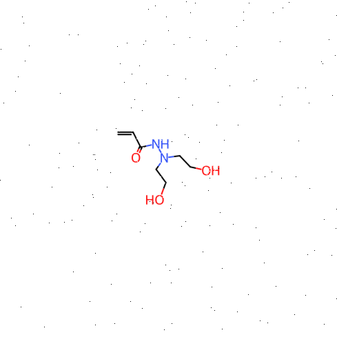 C=CC(=O)NN(CCO)CCO